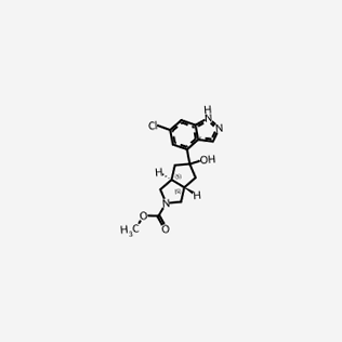 COC(=O)N1C[C@H]2CC(O)(c3cc(Cl)cc4[nH]ncc34)C[C@@H]2C1